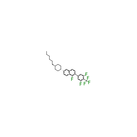 CCCCCC[C@H]1CC[C@H](c2ccc3c(F)c(-c4cc(F)c(C(F)(F)F)c(F)c4)ccc3c2)CC1